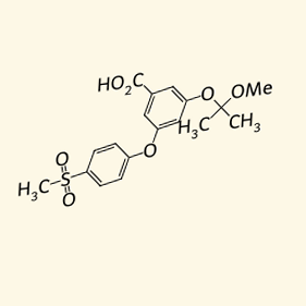 COC(C)(C)Oc1cc(Oc2ccc(S(C)(=O)=O)cc2)cc(C(=O)O)c1